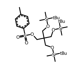 Cc1ccc(S(=O)(=O)OCC(CO[Si](C)(C)C(C)(C)C)(CO[Si](C)(C)C(C)(C)C)CO[Si](C)(C)C(C)(C)C)cc1